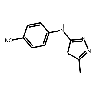 Cc1nnc(Nc2ccc(C#N)cc2)s1